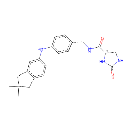 CC1(C)Cc2ccc(Nc3ccc(CNC(=O)[C@@H]4CNC(=O)N4)cc3)cc2C1